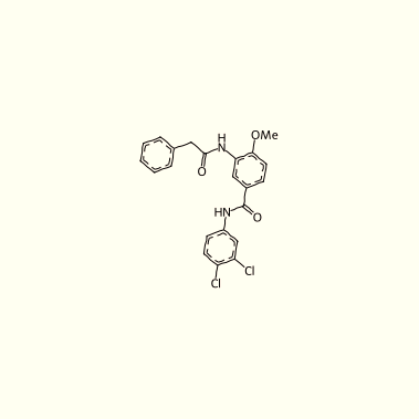 COc1ccc(C(=O)Nc2ccc(Cl)c(Cl)c2)cc1NC(=O)Cc1ccccc1